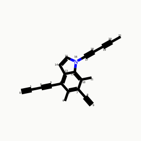 C#CC#Cc1c(C)c(C#C)c(C)c2c1ccn2C#CC#CC